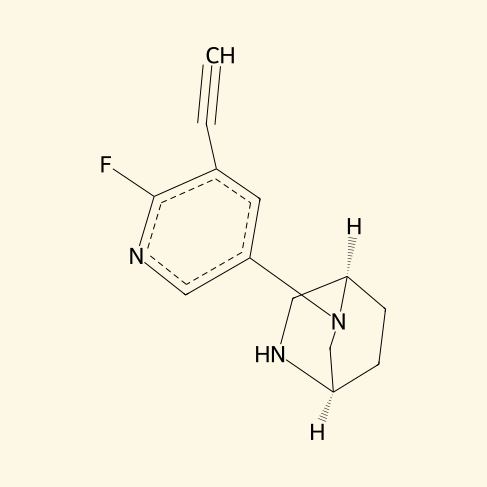 C#Cc1cc(N2C[C@H]3CC[C@@H]2CN3)cnc1F